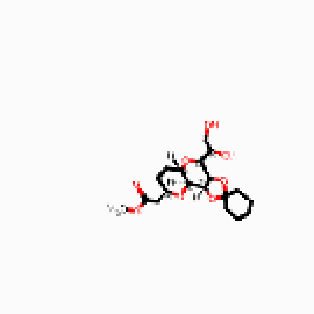 COC(=O)C[C@H]1CC[C@@H]2O[C@@H]([C@H](O)CO)C3OC4(CCCCC4)O[C@H]3[C@H]2O1